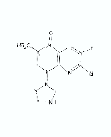 O=C(O)c1cn(N2CNCS2)c2nc(Cl)c(F)cc2c1=O